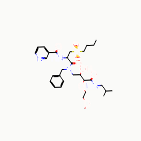 CCCCS(=O)(=O)CC(NC(=O)c1cccnc1)C(=O)N(Cc1ccccc1)CC(O)C(OCCOC)C(=O)NCC(C)C